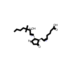 CCCCC(C)(C)[C@H](O)/C=C/[C@H]1[C@H](F)CC(=O)[C@@H]1C/C=C\CCCC(=O)O